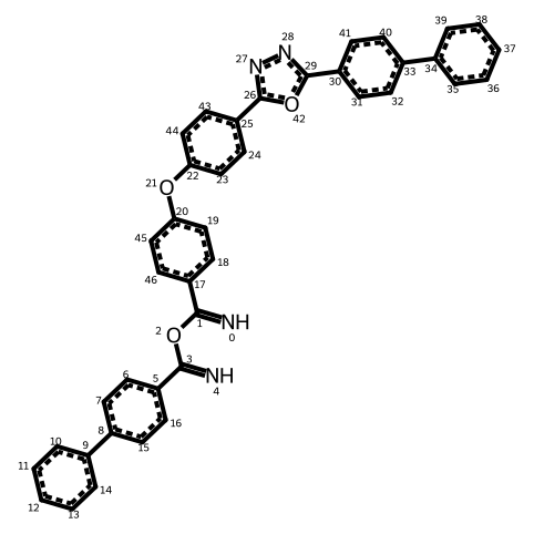 N=C(OC(=N)c1ccc(-c2ccccc2)cc1)c1ccc(Oc2ccc(-c3nnc(-c4ccc(-c5ccccc5)cc4)o3)cc2)cc1